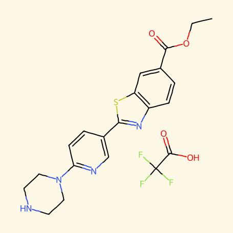 CCOC(=O)c1ccc2nc(-c3ccc(N4CCNCC4)nc3)sc2c1.O=C(O)C(F)(F)F